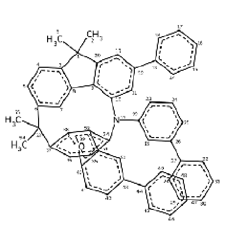 CC1(C)c2ccc3cc2-c2c(cc(-c4ccccc4)cc21)N(c1cccc(-c2ccccc2)c1)c1ccc(c2oc4ccc(-c5ccccc5)cc4c12)C3(C)C